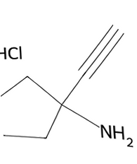 C#CC1(N)CCCC1.Cl